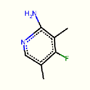 Cc1cnc(N)c(C)c1F